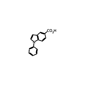 O=C(O)c1ccc2c(ccn2-c2ccccc2)c1